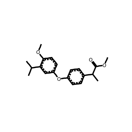 COC(=O)C(C)c1ccc(Oc2ccc(OC)c(C(C)C)c2)cc1